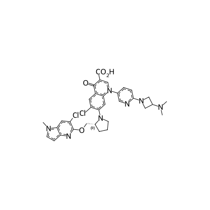 CN(C)C1CN(c2ccc(-n3cc(C(=O)O)c(=O)c4cc(Cl)c(N5CCC[C@@H]5COc5nc6ccn(C)c6cc5Cl)cc43)cn2)C1